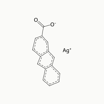 O=C([O-])c1ccc2cc3ccccc3cc2c1.[Ag+]